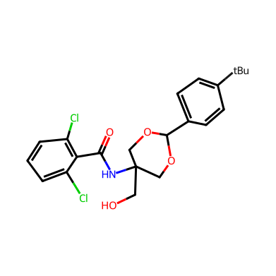 CC(C)(C)c1ccc(C2OCC(CO)(NC(=O)c3c(Cl)cccc3Cl)CO2)cc1